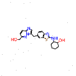 OCc1ccc2ncc(Cc3ccc4nc(NC5CCCCC5O)sc4c3)n2n1